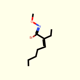 CCCCC=C(CC)C(Br)=NOC